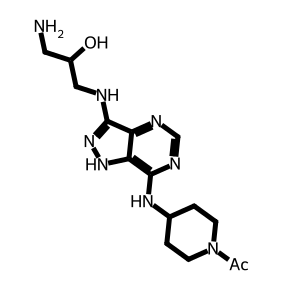 CC(=O)N1CCC(Nc2ncnc3c(NCC(O)CN)n[nH]c23)CC1